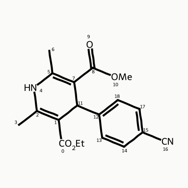 CCOC(=O)C1=C(C)NC(C)=C(C(=O)OC)C1c1ccc(C#N)cc1